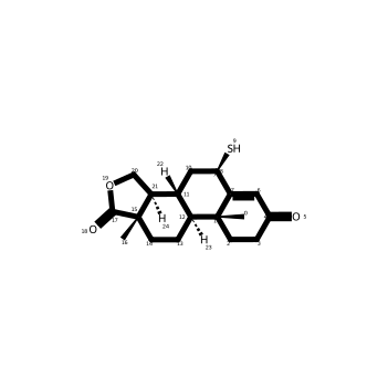 C[C@]12CCC(=O)C=C1[C@H](S)C[C@@H]1[C@@H]2CC[C@]2(C)C(=O)OC[C@@H]12